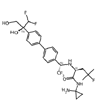 CC(C)(F)C[C@H](N[C@@H](c1ccc(-c2ccc([C@](O)(CO)C(F)F)cc2)cc1)C(F)(F)F)C(=O)NC1(N)CC1